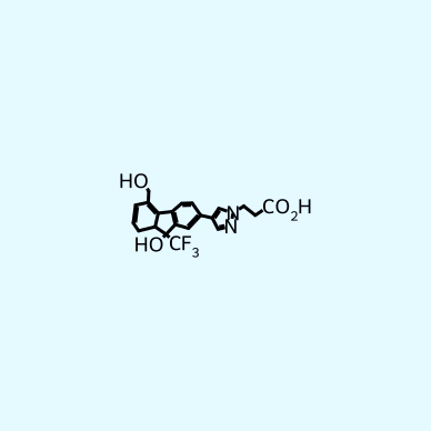 O=C(O)CCn1cc(-c2ccc3c(c2)C(O)(C(F)(F)F)C2CC=CC(CO)=C32)cn1